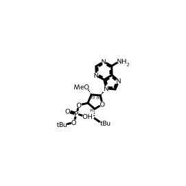 CO[C@H]1C(OP(=O)(O)OC(C)(C)C)[C@@H](CC(C)(C)C)O[C@H]1n1cnc2c(N)ncnc21